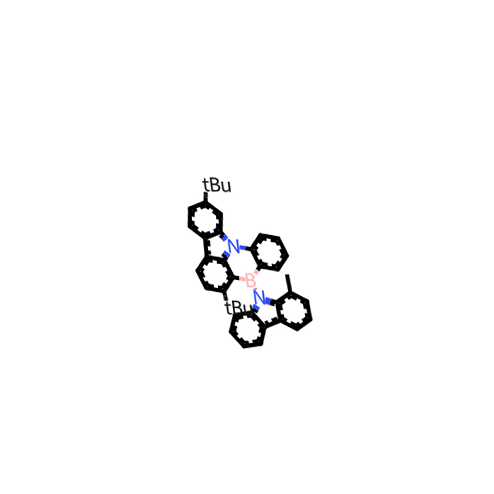 Cc1cccc2c3ccccc3n(B3c4ccccc4-n4c5cc(C(C)(C)C)ccc5c5ccc(C(C)(C)C)c3c54)c12